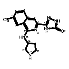 O=c1[nH]nc(-c2cc3ccc(Cl)cc3c(NC3CCNC3)n2)[nH]1